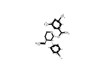 C=C[C@H]1CCO[C@H](OC(C)c2cc(C(F)(F)F)cc(C(F)(F)F)c2)[C@@H]1c1ccc(F)cc1